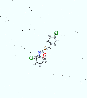 Clc1ccc(CSc2nc3c(Cl)cccc3o2)cc1